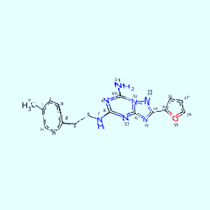 Cc1ccc(CCNc2nc(N)n3nc(-c4ccco4)nc3n2)cc1